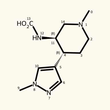 CN1CC[C@H](c2cnn(C)c2)[C@@H](NC(=O)O)C1